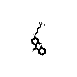 CCCCOc1ccc2c(=O)c3ccccc3sc2c1